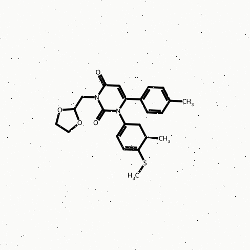 CSC1=CC=C(n2c(-c3ccc(C)cc3)cc(=O)n(CC3OCCO3)c2=O)C[C@H]1C